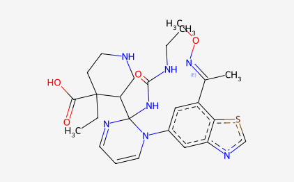 CCNC(=O)NC1(C2CNCCC2(CC)C(=O)O)N=CC=CN1c1cc(/C(C)=N/OC)c2scnc2c1